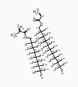 C=C(C)C(=O)OCC(F)(F)C(F)(F)C(F)(F)C(F)(F)C(F)(F)C(F)(F)C(F)(F)F.C=CC(=O)OCC(F)(F)C(F)(F)C(F)(F)C(F)(F)C(F)(F)C(F)(F)C(F)(F)C(F)(F)C(F)(F)F